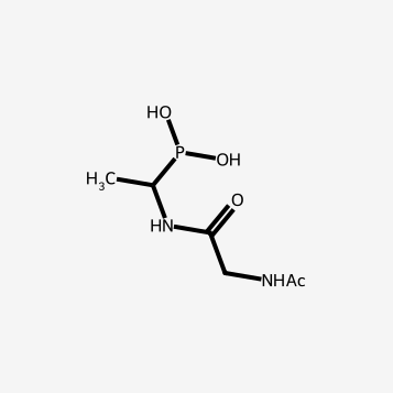 CC(=O)NCC(=O)NC(C)P(O)O